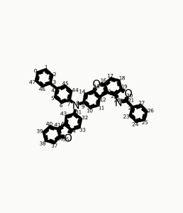 c1ccc(-c2ccc(N(c3ccc4c(c3)oc3ccc5oc(-c6ccccc6)nc5c34)c3ccc4oc5ccccc5c4c3)cc2)cc1